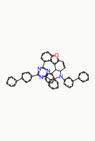 C1=CC2C(c3ccccc3N2c2cccc(-c3ccccc3)c2)c2c1oc1cccc(-c3nc(-c4ccccc4)nc(-c4ccc(-c5ccccc5)cc4)n3)c21